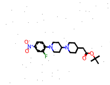 CC(C)(C)OC(=O)CC1CCN(C2CCN(c3ccc([N+](=O)[O-])cc3F)CC2)CC1